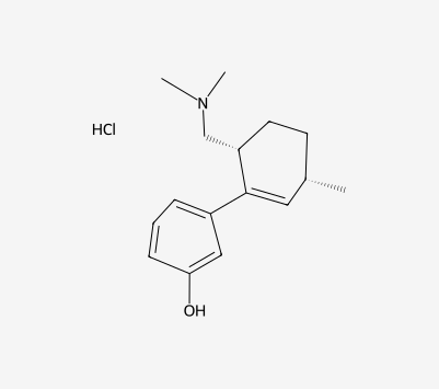 C[C@@H]1C=C(c2cccc(O)c2)[C@H](CN(C)C)CC1.Cl